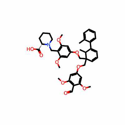 COc1cc(OCC2(COc3cc(OC)c(CN4CCCC[C@H]4C(=O)O)c(OC)c3)C=CC=C(c3ccccc3C)C2C)cc(OC)c1C=O